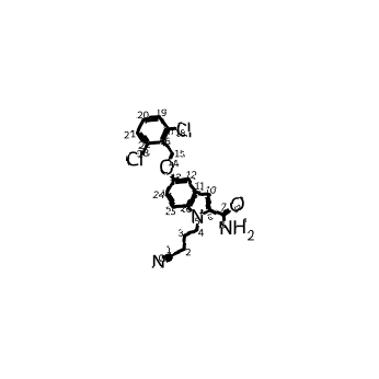 N#CCCCn1c(C(N)=O)cc2cc(OCc3c(Cl)cccc3Cl)ccc21